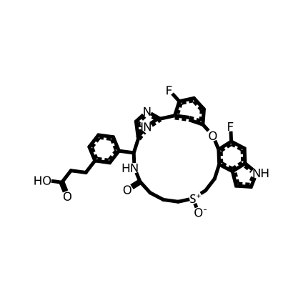 O=C(O)CCc1cccc(C2NC(=O)CCC[S+]([O-])CCc3c(c(F)cc4[nH]ccc34)Oc3ccc(F)c(c3)-c3ncc2[nH]3)c1